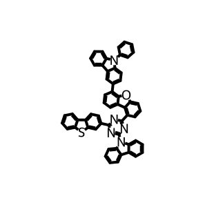 c1ccc(-n2c3ccccc3c3cc(-c4cccc5c4oc4cccc(-c6nc(-c7ccc8c(c7)sc7ccccc78)nc(-n7c8ccccc8c8ccccc87)n6)c45)ccc32)cc1